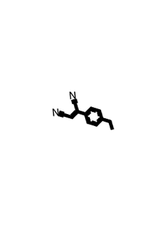 CCc1ccc(/C(C#N)=C/C#N)cc1